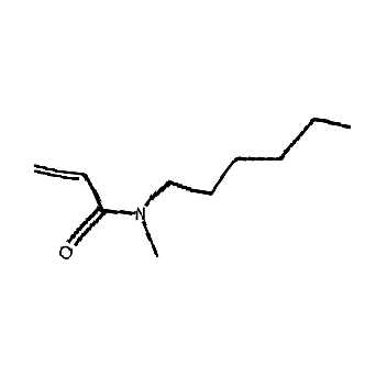 C=CC(=O)N(C)CCCCCC